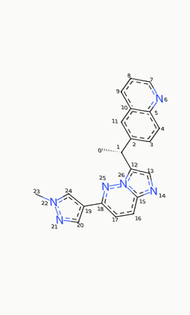 C[C@H](c1ccc2ncccc2c1)c1cnc2ccc(-c3cnn(C)c3)nn12